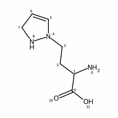 NC(CCN1C=CCN1)C(=O)O